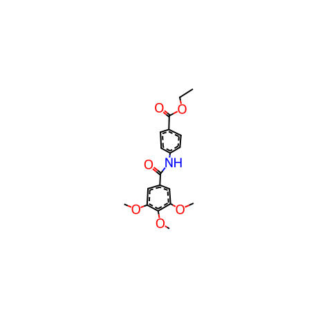 CCOC(=O)c1ccc(NC(=O)c2cc(OC)c(OC)c(OC)c2)cc1